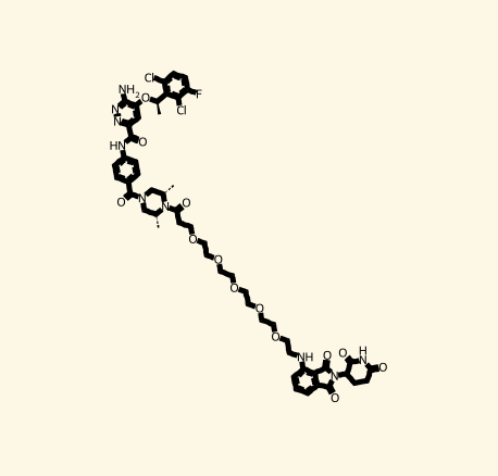 C[C@@H]1CN(C(=O)c2ccc(NC(=O)c3cc(O[C@H](C)c4c(Cl)ccc(F)c4Cl)c(N)nn3)cc2)C[C@H](C)N1C(=O)CCOCCOCCOCCOCCOCCNc1cccc2c1C(=O)N(C1CCC(=O)NC1=O)C2=O